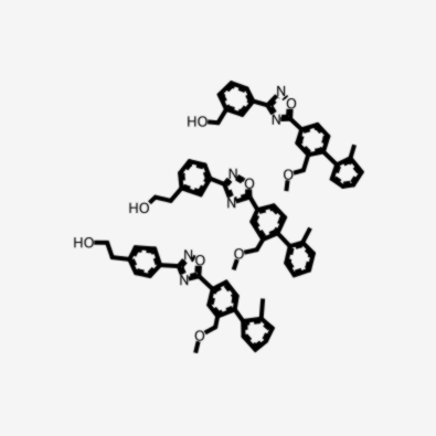 COCc1cc(-c2nc(-c3ccc(CCO)cc3)no2)ccc1-c1ccccc1C.COCc1cc(-c2nc(-c3cccc(CCO)c3)no2)ccc1-c1ccccc1C.COCc1cc(-c2nc(-c3cccc(CO)c3)no2)ccc1-c1ccccc1C